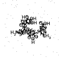 Cc1cc(SCC2=C(C(=O)O)N3C(=O)[C@@H](NC(=O)/C(=N\OC(C(=O)O)c4cc(O)c(O)c(O)c4)c4csc(N)n4)[C@H]3SC2)n2nc(C(=O)O)nc2n1